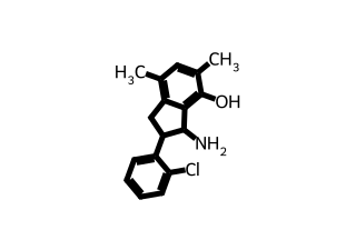 Cc1cc(C)c2c(c1O)C(N)C(c1ccccc1Cl)C2